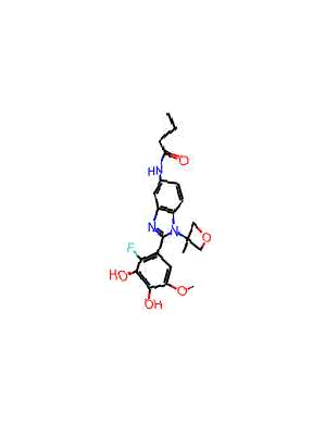 CCCC(=O)Nc1ccc2c(c1)nc(-c1cc(OC)c(O)c(O)c1F)n2C1(C)COC1